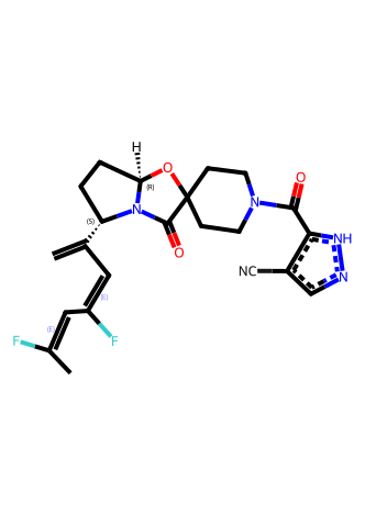 C=C(/C=C(F)\C=C(/C)F)[C@@H]1CC[C@H]2OC3(CCN(C(=O)c4[nH]ncc4C#N)CC3)C(=O)N21